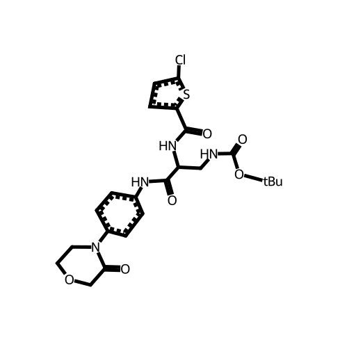 CC(C)(C)OC(=O)NCC(NC(=O)c1ccc(Cl)s1)C(=O)Nc1ccc(N2CCOCC2=O)cc1